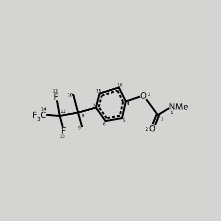 CNC(=O)Oc1ccc(C(C)(C)C(F)(F)C(F)(F)F)cc1